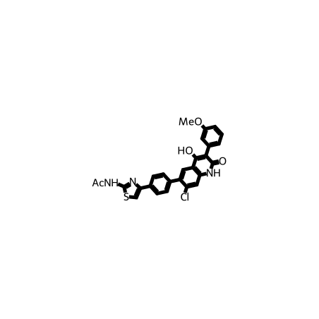 COc1cccc(-c2c(O)c3cc(-c4ccc(-c5csc(NC(C)=O)n5)cc4)c(Cl)cc3[nH]c2=O)c1